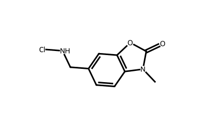 Cn1c(=O)oc2cc(CNCl)ccc21